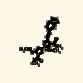 C=CC(=O)N1C[C@@H](n2nc(C#Cc3ccn4ccnc4c3)c(C(N)=O)c2NC)C[C@@H]1COC